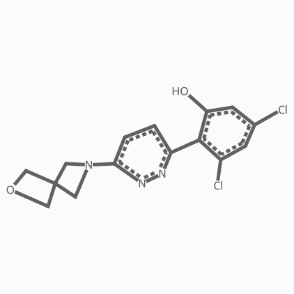 Oc1cc(Cl)cc(Cl)c1-c1ccc(N2CC3(COC3)C2)nn1